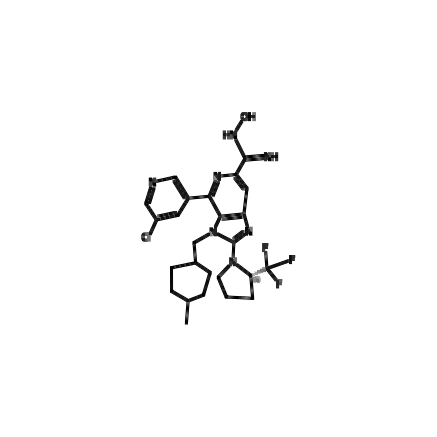 CC1CCC(Cn2c(N3CCC[C@H]3C(F)(F)F)nc3cc(C(=N)NO)nc(-c4cncc(Cl)c4)c32)CC1